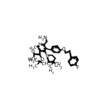 Cc1nc(CN)c(-c2ccc(OCCc3ccc(F)cc3)cc2)c(N2CCC(C)(C)CC2)c1C(OC(C)(C)C)C(=O)O